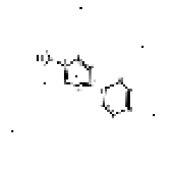 Nc1ccc([C@H]2C=C[C]=CC2)cc1